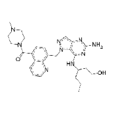 CCCC(CCO)Nc1nc(N)nc2cnn(Cc3ccc(C(=O)N4CCN(C)CC4)c4cccnc34)c12